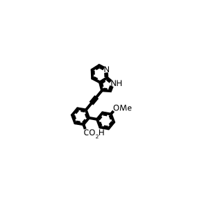 COc1cccc(-c2c(C#Cc3c[nH]c4ncccc34)cccc2C(=O)O)c1